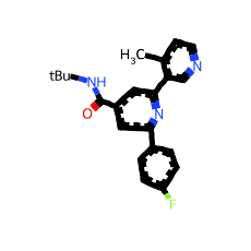 Cc1ccncc1-c1cc(C(=O)NC(C)(C)C)cc(-c2ccc(F)cc2)n1